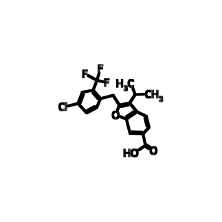 CC(C)c1c(Cc2ccc(Cl)cc2C(F)(F)F)oc2cc(C(=O)O)ccc12